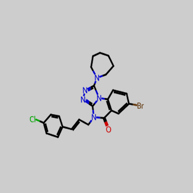 O=c1c2cc(Br)ccc2n2c(N3CCCCCC3)nnc2n1C/C=C/c1ccc(Cl)cc1